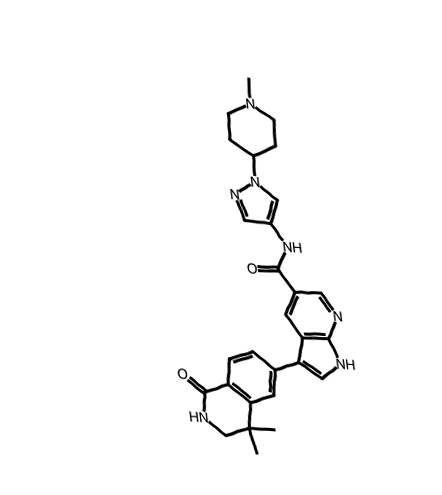 CN1CCC(n2cc(NC(=O)c3cnc4[nH]cc(-c5ccc6c(c5)C(C)(C)CNC6=O)c4c3)cn2)CC1